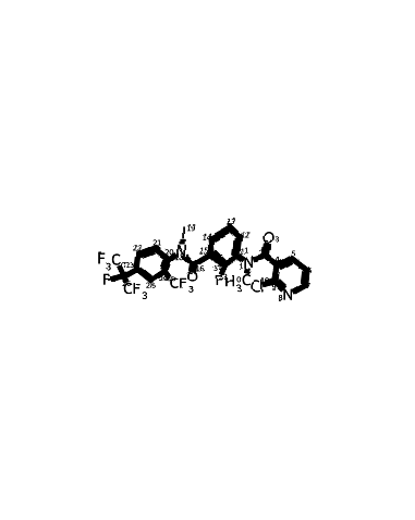 CN(C(=O)c1cccnc1Cl)c1cccc(C(=O)N(I)c2ccc(C(F)(C(F)(F)F)C(F)(F)F)cc2C(F)(F)F)c1F